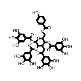 O=C(CC1C(OC(=O)c2cc(O)c(O)c(O)c2)C(COC(=O)c2ccc(O)cc2)OC(OC(=O)c2cc(O)c(O)c(O)c2)C1OC(=O)c1cc(O)c(O)c(O)c1)c1cc(O)c(O)c(O)c1